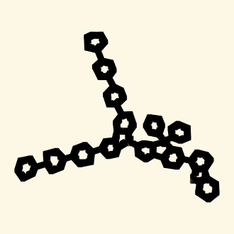 c1ccc(-c2ccc(-c3ccc(-c4ccc5c(c4)c4cc(-c6ccc(-c7ccc(-c8ccccc8)cc7)cc6)ccc4n5-c4ccc5c(c4)[Si](c4ccccc4)(c4ccccc4)c4cc(-c6cccc7c6sc6ccccc67)ccc4-5)cc3)cc2)cc1